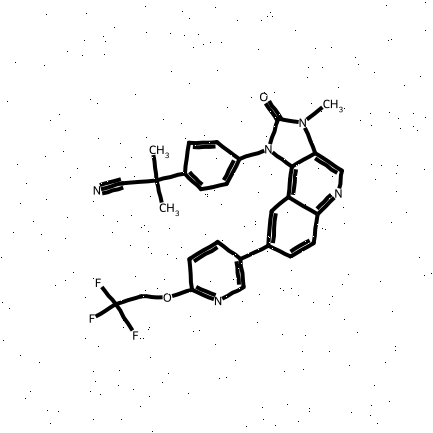 Cn1c(=O)n(-c2ccc(C(C)(C)C#N)cc2)c2c3cc(-c4ccc(OCC(F)(F)F)nc4)ccc3ncc21